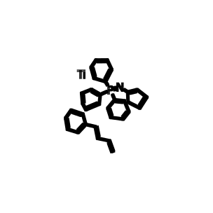 C1=CCC(N=P(c2ccccc2)(c2ccccc2)c2ccccc2)=C1.C=CC=Cc1ccccc1.[Ti]